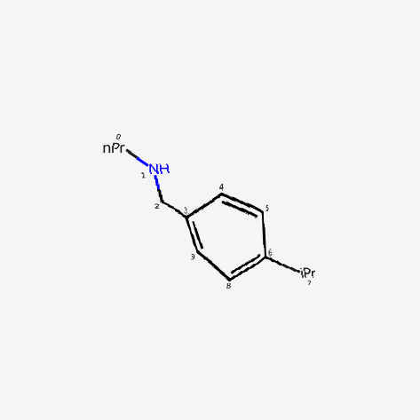 CCCNCc1ccc(C(C)C)cc1